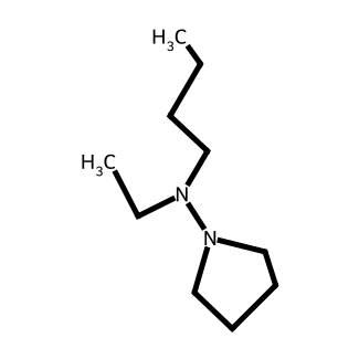 CCCCN(CC)N1CCCC1